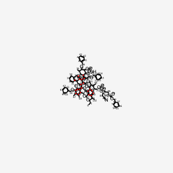 CCC1OC(OCC2OC(OC3C(COCc4ccccc4)OC(OC4C(OCc5ccccc5)C(C)C(OCc5ccccc5)C5OP(=O)(O)OC45)C(N)C3C)C(OCc3ccccc3)C(C)C2C)C(OC2OC(COP(=O)(OCCC#N)OCCNC(=O)OCc3ccccc3)C(C)C(C)C2OC2OC(COCc3ccccc3)C(C)C(C)C2OCc2ccccc2)C(C)C1C